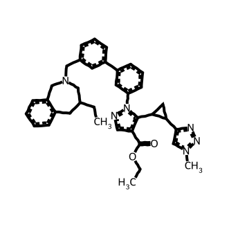 CCOC(=O)c1cnn(-c2cccc(-c3cccc(CN4Cc5ccccc5CC(CC)C4)c3)c2)c1C1CC1c1cn(C)nn1